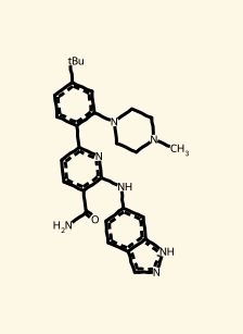 CN1CCN(c2cc(C(C)(C)C)ccc2-c2ccc(C(N)=O)c(Nc3ccc4cn[nH]c4c3)n2)CC1